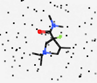 CC(C)N1CC(C)C(F)(C(=O)N(C)C)C1